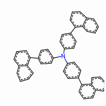 c1ccc2c(-c3ccc(N(c4ccc(-c5cccc6ccccc56)cc4)c4ccc(-c5cccc6ccccc56)cc4)cc3)cccc2c1